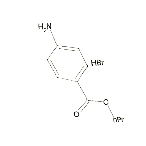 Br.CCCOC(=O)c1ccc(N)cc1